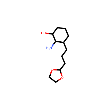 NC1C(O)CCCC1CCCC1OCCO1